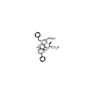 C=CC(O[C@@H]1[C@@H](ONCCCCC)[C@@H](OCc2ccccc2)O[C@@H]2COC(c3ccccc3)O[C@@H]12)C(=O)O